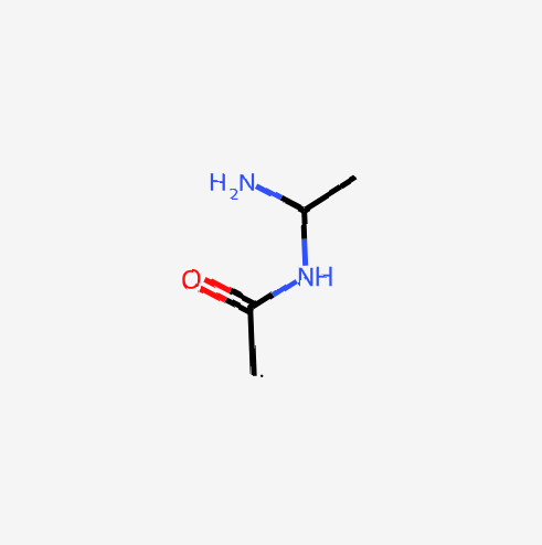 [CH2]C(=O)NC(C)N